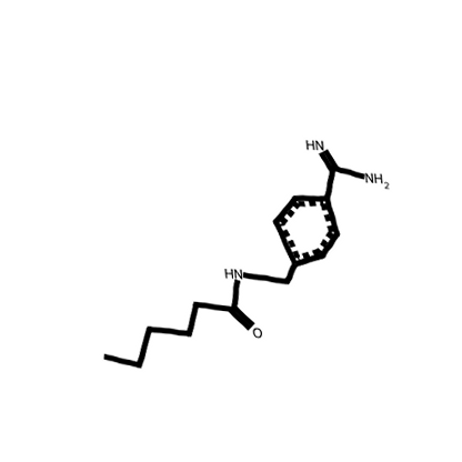 CCCCCC(=O)NCc1ccc(C(=N)N)cc1